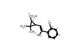 CC1(C)C(/C=C(\C#N)c2ccccc2Cl)C1C(=O)O